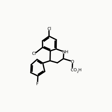 O=C(O)OC1CC(c2cccc(F)c2)c2c(Cl)cc(Cl)cc2N1